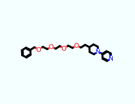 c1ccc(COCCOCCOCCOCCC2CCN(c3ccncc3)CC2)cc1